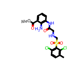 COC(=O)c1cccc(NC(=O)CNCS(=O)(=O)c2c(Cl)ccc(C)c2Cl)c1N